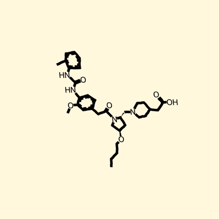 CCCCO[C@@H]1C[C@@H](CN2CCC(CC(=O)O)CC2)N(C(=O)Cc2ccc(NC(=O)Nc3ccccc3C)c(OC)c2)C1